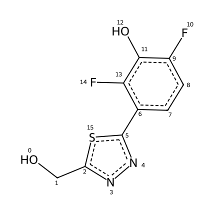 OCc1nnc(-c2ccc(F)c(O)c2F)s1